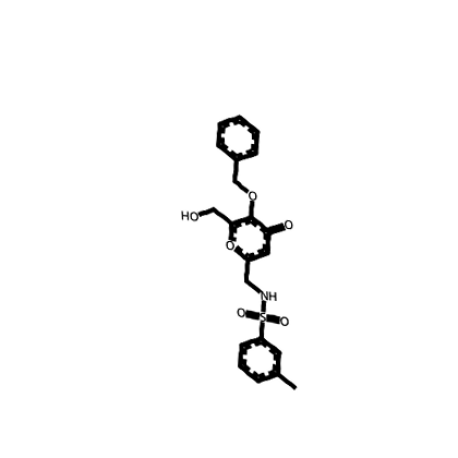 Cc1cccc(S(=O)(=O)NCc2cc(=O)c(OCc3ccccc3)c(CO)o2)c1